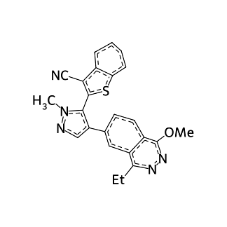 CCc1nnc(OC)c2ccc(-c3cnn(C)c3-c3sc4ccccc4c3C#N)cc12